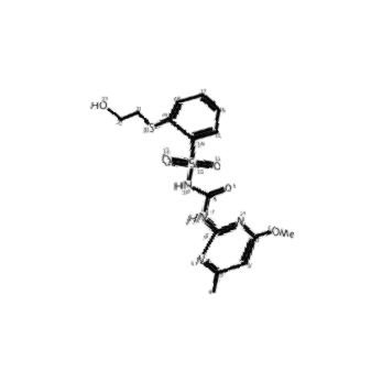 COc1cc(C)nc(NC(=O)NS(=O)(=O)c2ccccc2SCCO)n1